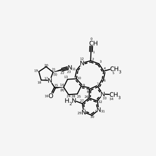 C#Cc1cc(C)cc2c(c3c(cn1)C[C@H](C(=O)N1CCC[C@H]1C#N)CC3)c1c(N)ncnc1n2C